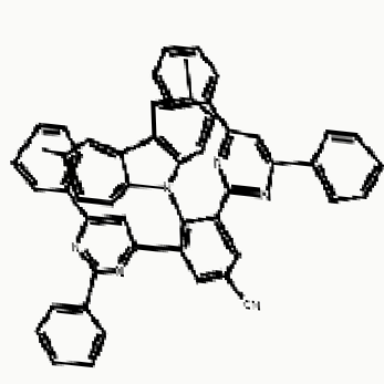 Cc1ccc2c(c1)c1cc(C)ccc1n2-c1c(-c2cc(-c3ccccc3)nc(-c3ccccc3)n2)cc(C#N)cc1-c1nc(-c2ccccc2)cc(-c2ccccc2)n1